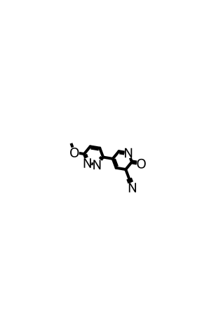 COc1ccc(C2=CC(C#N)C(=O)N=C2)nn1